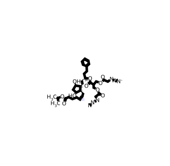 CC(C)OC(=O)CCC/C=C\C[C@@H]1[C@@H](CC[C@H](CCc2ccccc2)OC(=O)C(COC(=O)CN=[N+]=[N-])COC(=O)CN=[N+]=[N-])[C@H](O)C[C@@H]1O